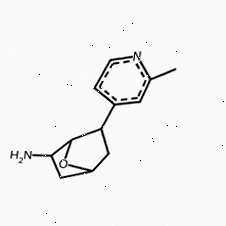 Cc1cc(C2CC3CC(N)C2O3)ccn1